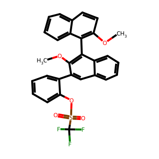 COc1ccc2ccccc2c1-c1c(OC)c(-c2ccccc2OS(=O)(=O)C(F)(F)F)cc2ccccc12